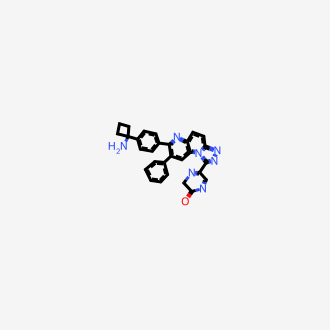 NC1(c2ccc(-c3nc4ccc5nnc(C6=NCC(=O)N=C6)n5c4cc3-c3ccccc3)cc2)CCC1